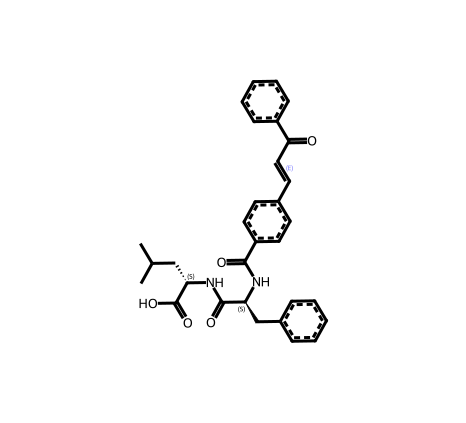 CC(C)C[C@H](NC(=O)[C@H](Cc1ccccc1)NC(=O)c1ccc(/C=C/C(=O)c2ccccc2)cc1)C(=O)O